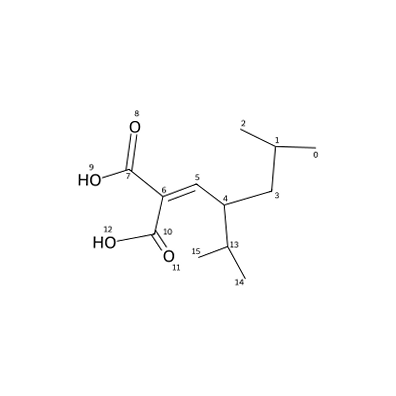 CC(C)CC(C=C(C(=O)O)C(=O)O)C(C)C